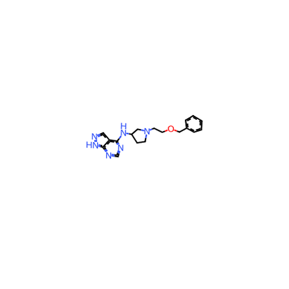 c1ccc(COCCN2CCC(Nc3ncnc4[nH]ncc34)C2)cc1